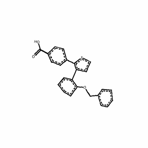 O=C(O)c1ccc(-c2sccc2-c2ccccc2OCc2ccccc2)cc1